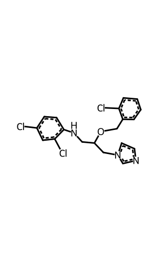 Clc1ccc(NCC(Cn2ccnc2)OCc2ccccc2Cl)c(Cl)c1